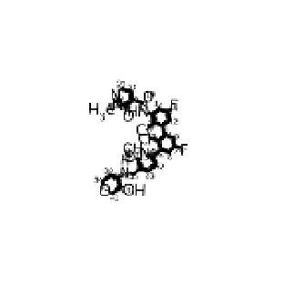 COc1nc(-c2cc(F)cc(-c3cc(F)cc(NC(=O)c4ccnn(C)c4=O)c3Cl)c2Cl)ccc1CN[C@@H]1CCOC[C@@H]1O